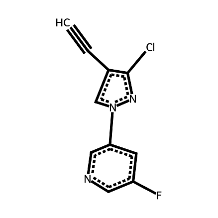 C#Cc1cn(-c2cncc(F)c2)nc1Cl